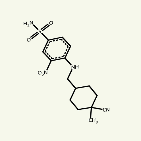 CC1(C#N)CCC(CNc2ccc(S(N)(=O)=O)cc2[N+](=O)[O-])CC1